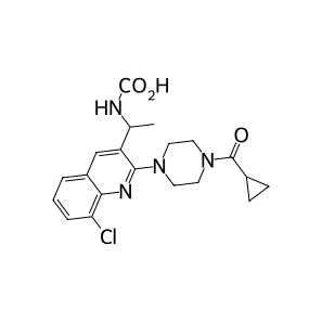 CC(NC(=O)O)c1cc2cccc(Cl)c2nc1N1CCN(C(=O)C2CC2)CC1